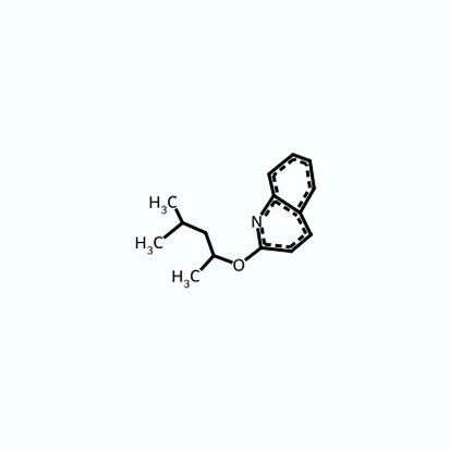 CC(C)CC(C)Oc1ccc2ccccc2n1